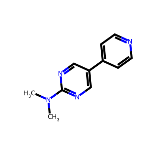 CN(C)c1ncc(-c2ccncc2)cn1